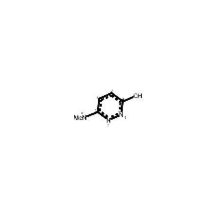 CNc1[c]cc(O)nn1